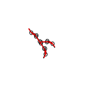 CCCCCCCCOc1ccc(-c2ccc(/C=C/C(=O)OCCCCCCCCCCOCC(COCCCCCCCCCCOC(=O)/C=C/c3ccc(-c4ccc(OCCCCCCCC)cc4)cc3)OCCCCCCCCCCOC(=O)/C=C/c3ccc(-c4ccc(OCCCCCCCC)cc4)cc3)cc2)cc1